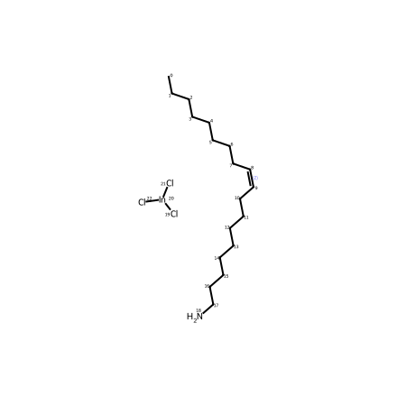 CCCCCCCC/C=C\CCCCCCCCN.[Cl][In]([Cl])[Cl]